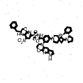 CC(C)c1ccccc1[C@@H]1CCCN1C1CC2(CCN(c3ccc(C(=O)NS(=O)(=O)c4cc([N+](=O)[O-])c5c(n4)OCC(Cc4ccccc4)N5)c(N4CCOc5nc6[nH]ccc6cc54)c3)CC2)C1